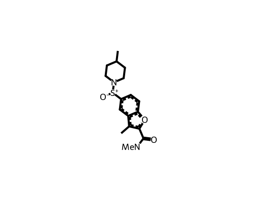 CNC(=O)c1oc2ccc([S+]([O-])N3CCC(C)CC3)cc2c1C